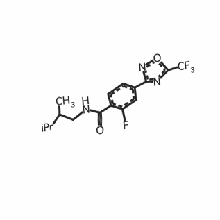 CC(C)C(C)CNC(=O)c1ccc(-c2noc(C(F)(F)F)n2)cc1F